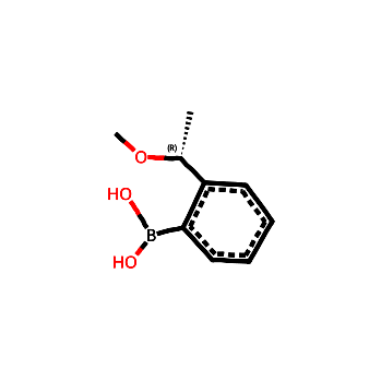 CO[C@H](C)c1ccccc1B(O)O